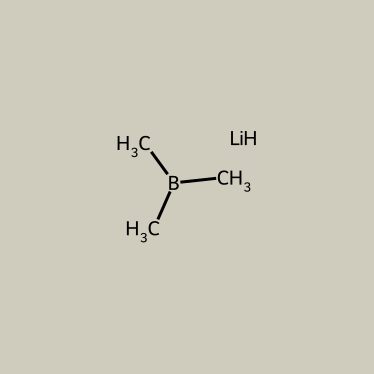 CB(C)C.[LiH]